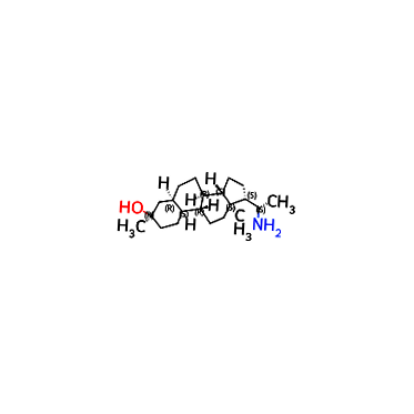 C[C@H](N)[C@H]1CC[C@H]2[C@@H]3CC[C@@H]4C[C@](C)(O)CC[C@@H]4[C@H]3CC[C@]12C